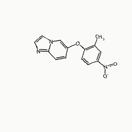 Cc1cc([N+](=O)[O-])ccc1Oc1ccc2nccn2c1